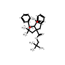 CC(C)(C)COC(=O)C(Cc1ccccc1)(CC(C)(C)C)C(Cc1ccccc1)C(=O)O